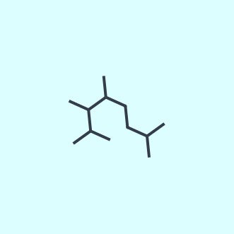 CC(C)CCC(C)C(C)C(C)C